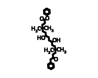 CC(C)(CCC(=O)Cc1ccccc1)CCC(O)CCC(O)CCC(C)(C)CCC(=O)Oc1ccccc1